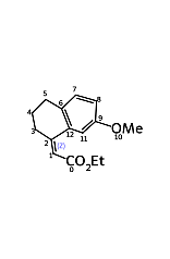 CCOC(=O)/C=C1/CCCc2ccc(OC)cc21